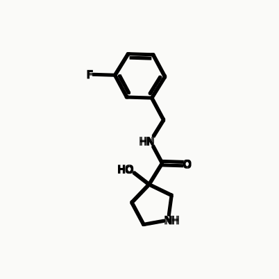 O=C(NCc1cccc(F)c1)C1(O)CCNC1